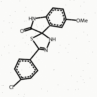 COc1ccc2c(c1)C1(NN=C(c3ccc(Cl)cc3)S1)C(=O)N2